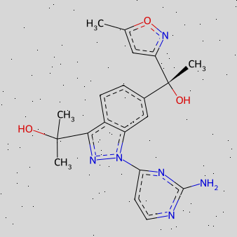 Cc1cc([C@](C)(O)c2ccc3c(C(C)(C)O)nn(-c4ccnc(N)n4)c3c2)no1